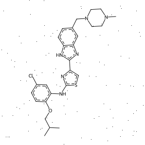 CC(C)COc1ccc(Cl)cc1Nc1nc(-c2nc3cc(CN4CCN(C)CC4)ccc3[nH]2)cs1